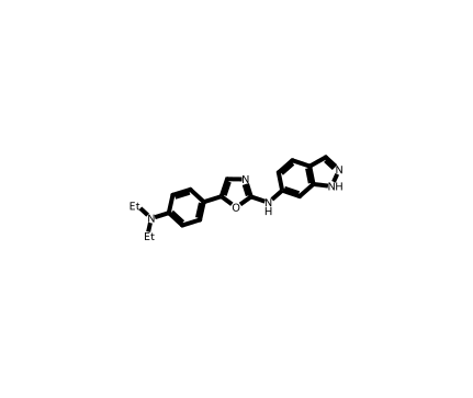 CCN(CC)c1ccc(-c2cnc(Nc3ccc4cn[nH]c4c3)o2)cc1